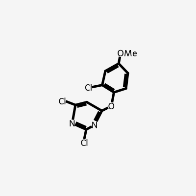 COc1ccc(Oc2cc(Cl)nc(Cl)n2)c(Cl)c1